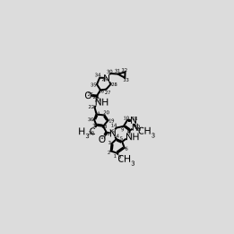 Cc1ccc2c(c1)Nc1c(cnn1C)CN2C(=O)c1ccc(CNC(=O)C2CCN(CC3CC3)CC2)cc1C